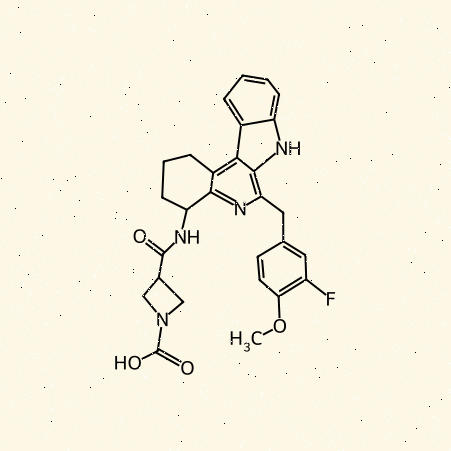 COc1ccc(Cc2nc3c(c4c2[nH]c2ccccc24)CCCC3NC(=O)C2CN(C(=O)O)C2)cc1F